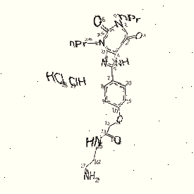 CCCn1c(=O)c2[nH]c(-c3ccc(OCC(=O)NCCN)cc3)nc2n(CCC)c1=O.Cl.Cl